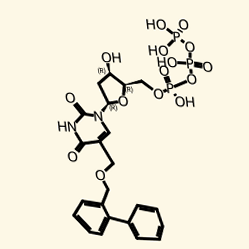 O=c1[nH]c(=O)n([C@H]2C[C@@H](O)[C@@H](COP(=O)(O)OP(=O)(O)OP(=O)(O)O)O2)cc1COCc1ccccc1-c1ccccc1